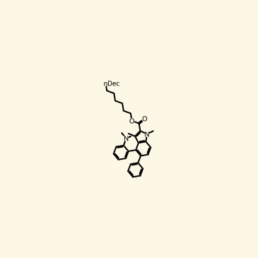 CCCCCCCCCCCCCCCCOC(=O)c1c(C)c2c(-c3ccccc3N(C)C)c(-c3ccccc3)ccc2n1C